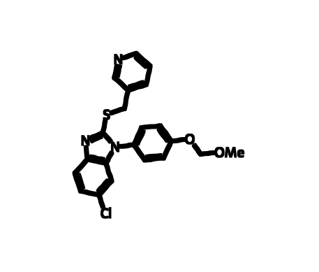 COCOc1ccc(-n2c(SCc3cccnc3)nc3ccc(Cl)cc32)cc1